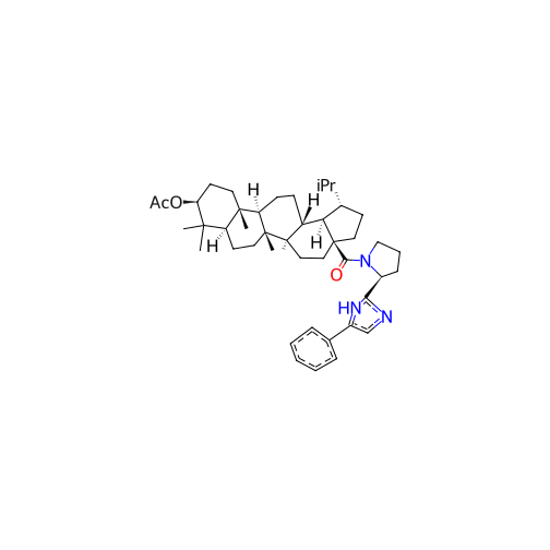 CC(=O)O[C@H]1CC[C@]2(C)[C@H]3CC[C@@H]4[C@H]5[C@H](C(C)C)CC[C@]5(C(=O)N5CCC[C@H]5c5ncc(-c6ccccc6)[nH]5)CC[C@@]4(C)[C@]3(C)CC[C@H]2C1(C)C